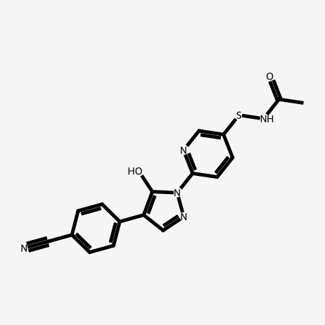 CC(=O)NSc1ccc(-n2ncc(-c3ccc(C#N)cc3)c2O)nc1